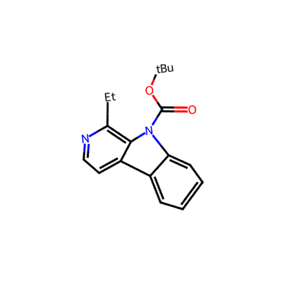 CCc1nccc2c3ccccc3n(C(=O)OC(C)(C)C)c12